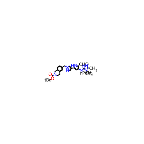 CCCCCN(c1cc(-c2cnn(Cc3ccc4c(c3)CCN(C(=O)OC(C)(C)C)C4)c2)[nH]c1C=O)c1nnc(C)n1C